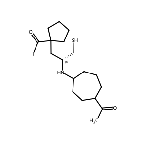 CC(=O)C1CCCC(N[C@@H](CS)CC2(C(=O)I)CCCC2)CC1